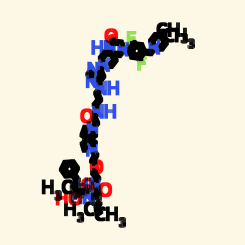 CC(C)C[C@H](NC(=O)[C@@H](O)[C@H](C)Cc1ccccc1)C(=O)NCCOCCN1CC[C@]2(CCN(CC(=O)NCCCNc3cc(N4CCC5(CC4)CN(c4cc(F)c(CN6CCC(C)(C)CC6)cc4F)CC(=O)N5)ncn3)C2)C1